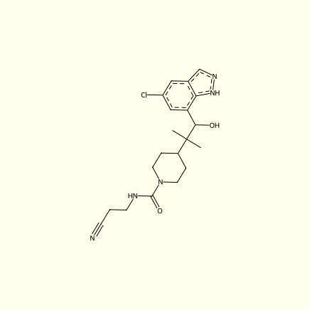 CC(C)(C1CCN(C(=O)NCCC#N)CC1)C(O)c1cc(Cl)cc2cn[nH]c12